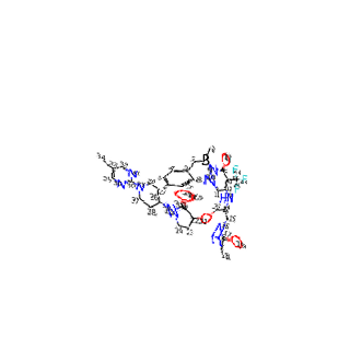 CB(Cc1ccccc1)n1ncc(N[C@@H](CNC(C)=O)COC2CCN(C3CCN(c4ncc(C)cn4)CC3)C2=O)c(C(F)(F)F)c1=O